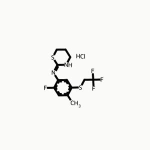 Cc1cc(F)c(N=C2NCCCS2)cc1SCC(F)(F)F.Cl